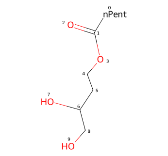 CCCCCC(=O)OCCC(O)CO